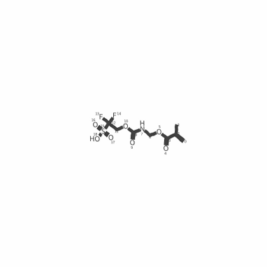 C=C(C)C(=O)OCNC(=O)OCC(F)(F)S(=O)(=O)O